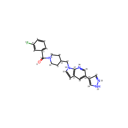 O=C(c1cccc(F)c1)N1CCC(Cn2ccc3cc(-c4cn[nH]c4)cnc32)CC1